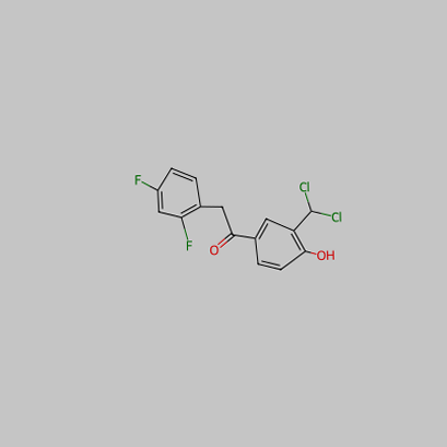 O=C(Cc1ccc(F)cc1F)c1ccc(O)c(C(Cl)Cl)c1